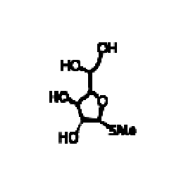 CS[C@@H]1O[C@H]([C@@H](O)CO)[C@H](O)[C@H]1O